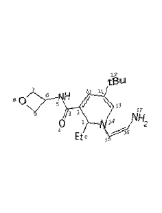 CCC1C(C(=O)NC2COC2)=CC(C(C)(C)C)=CN1/C=C\N